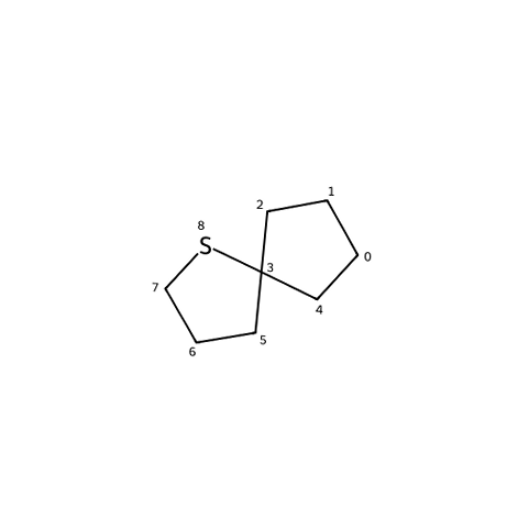 C1CCC2(C1)CCCS2